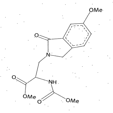 COC(=O)NC(CN1Cc2ccc(OC)cc2C1=O)C(=O)OC